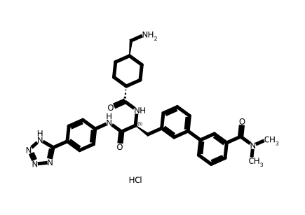 CN(C)C(=O)c1cccc(-c2cccc(C[C@H](NC(=O)[C@H]3CC[C@H](CN)CC3)C(=O)Nc3ccc(-c4nnn[nH]4)cc3)c2)c1.Cl